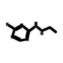 CCNNc1ncnc(F)n1